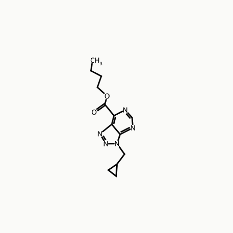 CCCCOC(=O)c1ncnc2c1nnn2CC1CC1